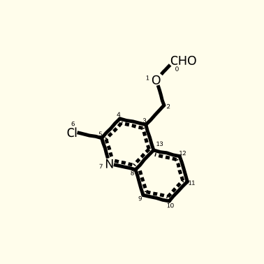 O=COCc1cc(Cl)nc2ccccc12